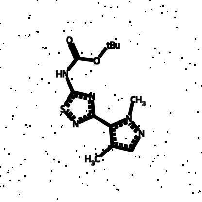 Cc1cnn(C)c1-c1nsc(NC(=O)OC(C)(C)C)n1